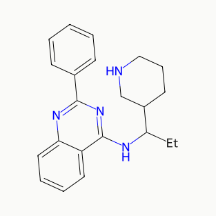 CCC(Nc1nc(-c2ccccc2)nc2ccccc12)C1CCCNC1